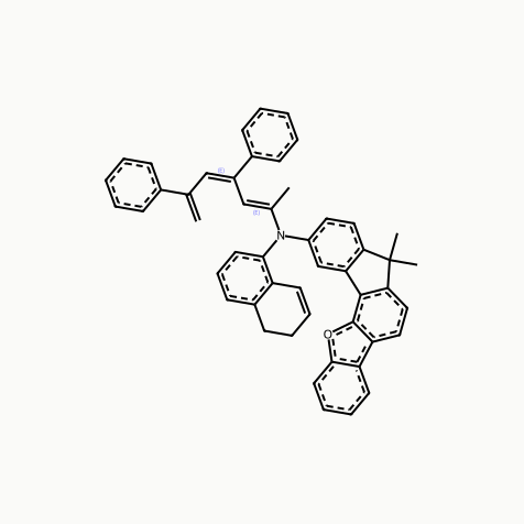 C=C(/C=C(\C=C(/C)N(c1ccc2c(c1)-c1c(ccc3c1oc1ccccc13)C2(C)C)c1cccc2c1C=CCC2)c1ccccc1)c1ccccc1